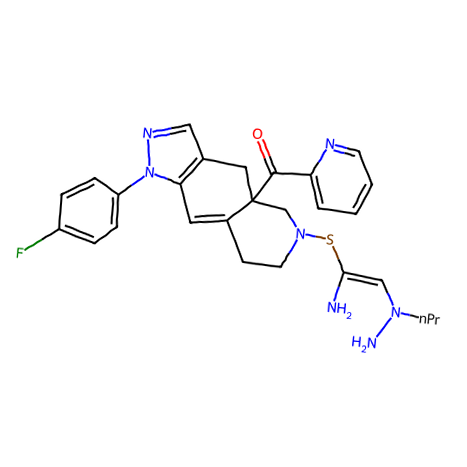 CCCN(N)/C=C(\N)SN1CCC2=Cc3c(cnn3-c3ccc(F)cc3)CC2(C(=O)c2ccccn2)C1